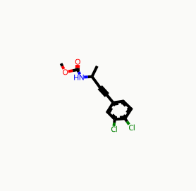 COC(=O)NC(C)C#Cc1ccc(Cl)c(Cl)c1